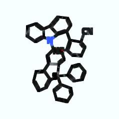 N#Cc1cccc(C#N)c1-c1cccc2c3ccccc3n(-c3ccc4c(c3)-c3ccccc3[Si]4(c3ccccc3)c3ccccc3)c12